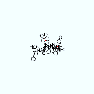 COc1ccc(CN(Cc2ccc(OC)cc2)S(=O)(=O)c2c(S(=O)(=O)[C@H]3C[C@@H](CO)N(C(=O)OCc4ccccc4)C3)ccc(-c3cccc4[nH]c(N)nc34)c2-c2nnn(Cc3ccc(OC)cc3)n2)cc1